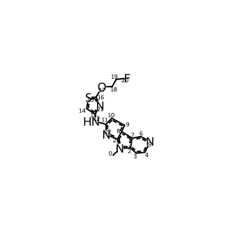 Cn1c2ccncc2c2ccc(Nc3csc(OCCF)n3)nc21